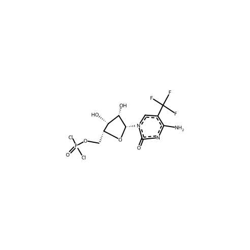 Nc1nc(=O)n([C@@H]2O[C@H](COP(=O)(Cl)Cl)[C@H](O)[C@@H]2O)cc1C(F)(F)F